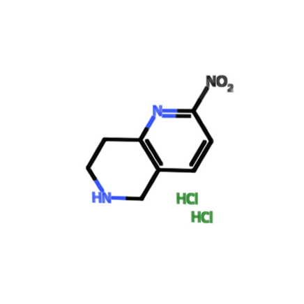 Cl.Cl.O=[N+]([O-])c1ccc2c(n1)CCNC2